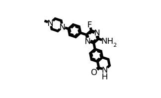 CN1CCN(c2ccc(-c3nc(-c4ccc5c(c4)CCNC5=O)c(N)nc3F)cc2)CC1